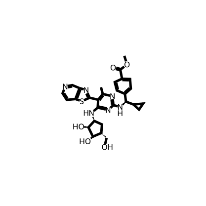 COC(=O)c1ccc([C@H](Nc2nc(C)c(-c3nc4cnccc4s3)c(N[C@@H]3C[C@H](CO)[C@@H](O)[C@H]3O)n2)C2CC2)cc1